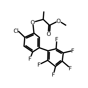 COC(=O)C(C)Oc1cc(-c2c(F)c(F)c(F)c(F)c2F)c(F)cc1Cl